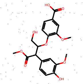 COC(=O)C(c1ccc(O)c(OC)c1)C(CO)Oc1ccc(C(=O)O)cc1OC